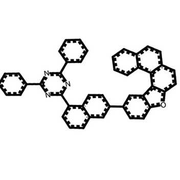 c1ccc(-c2nc(-c3ccccc3)nc(-c3cccc4cc(-c5ccc6oc7ccc8ccc9ccccc9c8c7c6c5)ccc34)n2)cc1